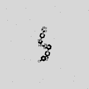 CC(C)(C)OC(=O)N1CCC(n2cc(Nc3nc4c(N5CCC(CO)(c6ccc(Cl)cc6)CC5)cccn4n3)cn2)CC1